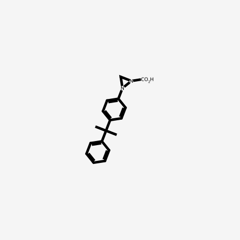 CC(C)(c1cc[c]cc1)c1ccc(N2CN2C(=O)O)cc1